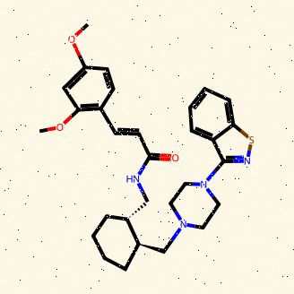 COc1ccc(/C=C/C(=O)NC[C@H]2CCCC[C@@H]2CN2CCN(c3nsc4ccccc34)CC2)c(OC)c1